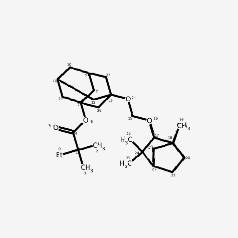 CCC(C)(C)C(=O)OC12CC3CC(CC(OCOC4C5(C)CCC(C5)C4(C)C)(C3)C1)C2